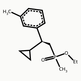 CCOP(C)(=O)C[C@H](c1cccc(C)c1)C1CC1